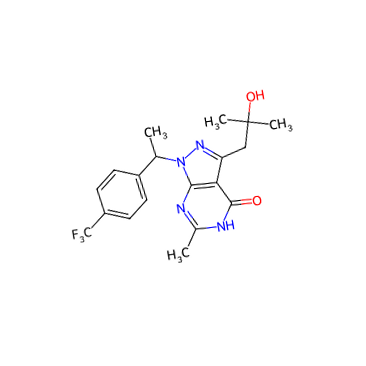 Cc1nc2c(c(CC(C)(C)O)nn2C(C)c2ccc(C(F)(F)F)cc2)c(=O)[nH]1